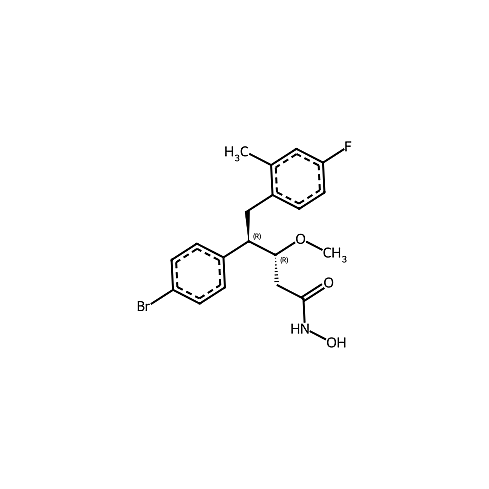 CO[C@H](CC(=O)NO)[C@H](Cc1ccc(F)cc1C)c1ccc(Br)cc1